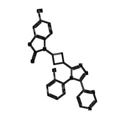 N#Cc1ccc2c(c1)oc(=O)n2C1CC(c2nnc(-c3ccncn3)n2-c2ccccc2Cl)C1